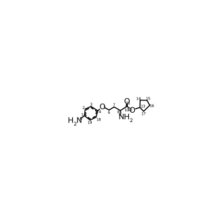 Nc1ccc(OCCC(N)C(=O)OC2CCCC2)cc1